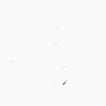 COc1ccc(Oc2nc(C(=O)N[C@H](C)c3ccc(C(F)(F)F)cc3)cc(=O)[nH]2)cc1OC